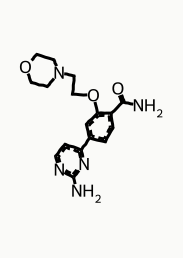 NC(=O)c1ccc(-c2ccnc(N)n2)cc1OCCN1CCOCC1